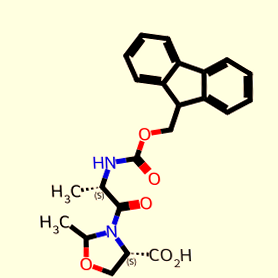 CC1OC[C@@H](C(=O)O)N1C(=O)[C@H](C)NC(=O)OCC1c2ccccc2-c2ccccc21